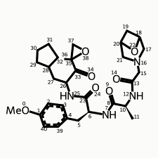 COc1ccc(C[C@H](NC(=O)[C@H](C)NC(=O)CN2CC3CC(C2)O3)C(=O)NC(CC2CCCC2)C(=O)C2(C)CO2)cc1